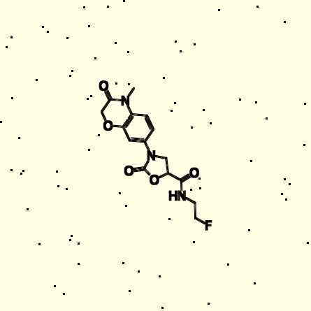 CN1C(=O)COc2cc(N3CC(C(=O)NCCF)OC3=O)ccc21